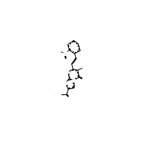 O=C(O)c1cn2c(=O)c(Cl)c(/C=C/c3ccccc3[N+](=O)[O-])nc2s1